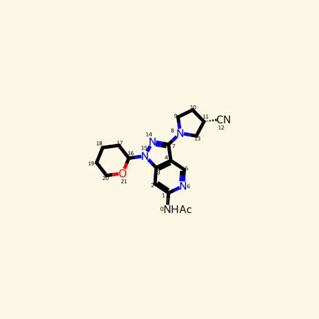 CC(=O)Nc1cc2c(cn1)c(N1CC[C@H](C#N)C1)nn2C1CCCCO1